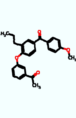 CCCc1cc(C(=O)c2ccc(OC)cc2)ccc1Oc1cccc(C(C)=O)c1